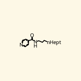 CCCCCCCCCCNC(=O)c1ccncc1